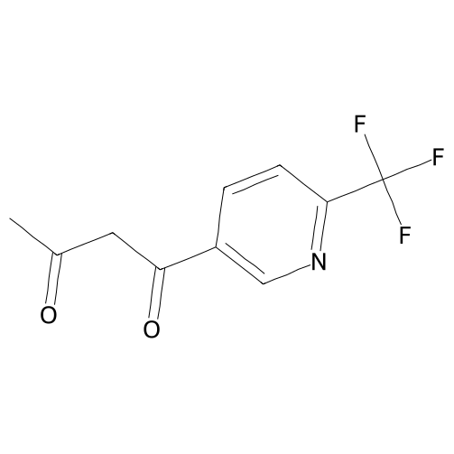 CC(=O)CC(=O)c1ccc(C(F)(F)F)nc1